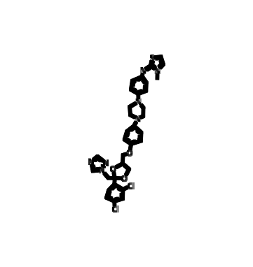 Cn1ccsc1=Nc1ccc(N2CCN(c3ccc(OCC4COC(Cn5cncn5)(c5ccc(Cl)cc5Cl)O4)cc3)CC2)cc1